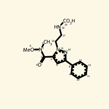 CON(C)C(=O)c1cc(-c2ccccc2)nn1CCNC(=O)O